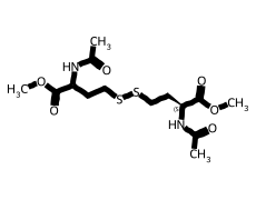 COC(=O)C(CCSSCC[C@H](NC(C)=O)C(=O)OC)NC(C)=O